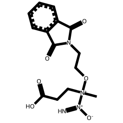 C[N+](CCC(=O)O)(OCCN1C(=O)c2ccccc2C1=O)[N+](=N)[O-]